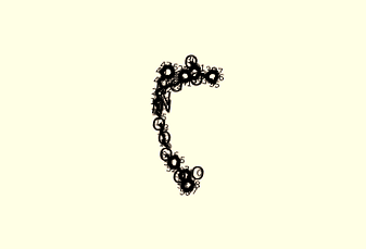 O=c1cc(-c2ccc(OCCOCCOCCn3cc(CN(CCOc4ccc5c(=O)cc(-c6ccccc6)oc5c4)Cc4ccccc4)nn3)cc2)oc2ccccc12